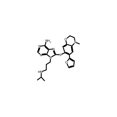 CC(C)NCCCn1c(Sc2cc3c(cc2-c2ccco2)N(C)CCO3)nc2c(N)ncnc21